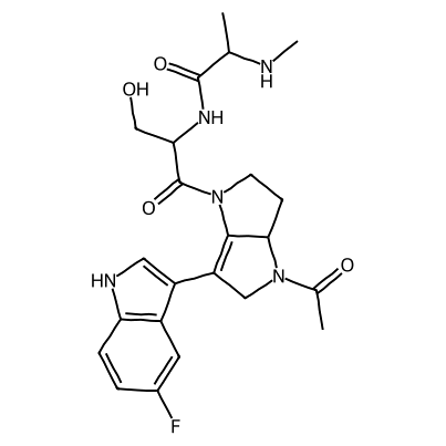 CNC(C)C(=O)NC(CO)C(=O)N1CCC2C1=C(c1c[nH]c3ccc(F)cc13)CN2C(C)=O